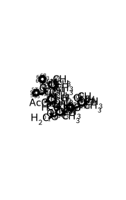 C=CC(=O)OC1CC(C)(C)NC(C)(C)C1.CC(=O)OC1CCN(C)C(C)(C)C1C.CC1(C)CC(Oc2ccccc2)CC(C)(C)N1.CC1C(OC(=O)Cc2ccccc2)CCN(C)C1(C)C.c1ccccc1